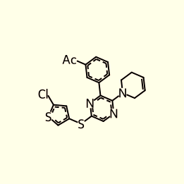 CC(=O)c1cccc(-c2nc(Sc3csc(Cl)c3)cnc2N2CC=CCC2)c1